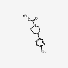 CC(C)(C)OC(=O)N1CCN(c2ccc(C(C)(C)C)nc2)CC1